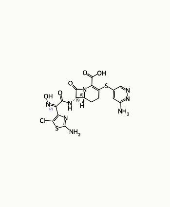 Nc1cc(SC2=C(C(=O)O)N3C(=O)[C@@H](NC(=O)/C(=N\O)c4nc(N)sc4Cl)[C@H]3CC2)cnn1